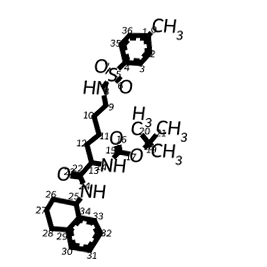 Cc1ccc(S(=O)(=O)NCCCCC(NC(=O)OC(C)(C)C)C(=O)NC2CCCc3ccccc32)cc1